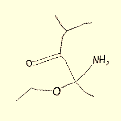 CCOC(C)(N)C(=O)C(C)C